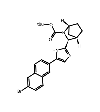 CC(C)(C)OC(=O)N1[C@@H]2CC[C@@H](C2)[C@H]1c1ncc(-c2ccc3cc(Br)ccc3c2)[nH]1